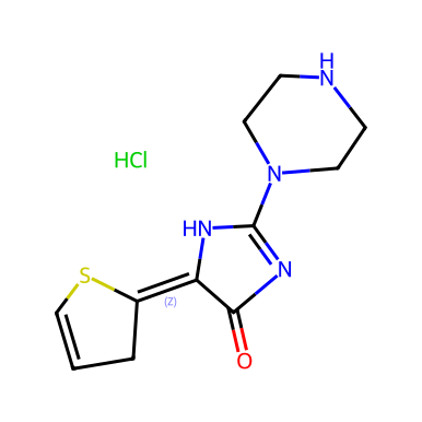 Cl.O=C1N=C(N2CCNCC2)N/C1=C1/CC=CS1